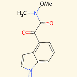 CON(C)C(=O)C(=O)c1cccc2[nH]ccc12